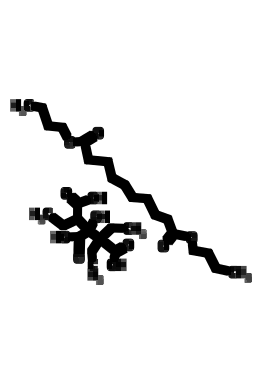 CCC(C(=O)O)C(O)(C(=O)O)C(CC)(CC)C(=O)O.CCCCOC(=O)CCCCCCCCC(=O)OCCCC